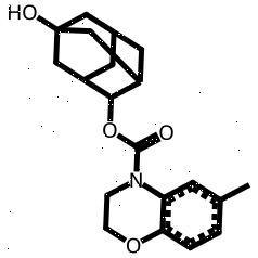 Cc1ccc2c(c1)N(C(=O)OC1C3CC4CC1CC(O)(C4)C3)CCO2